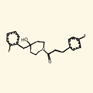 O=C(CCc1ccc(F)cc1)N1CCC(O)([CH]c2ccccc2F)CC1